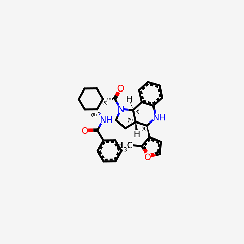 Cc1occc1[C@@H]1Nc2ccccc2[C@H]2[C@H]1CCN2C(=O)[C@H]1CCCC[C@H]1NC(=O)c1ccccc1